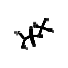 CN(C)S(=O)(=O)NS(C)(C)S